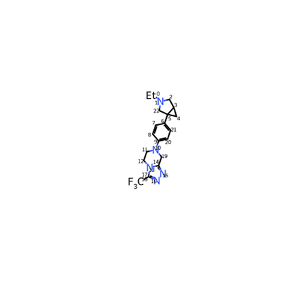 CCN1CC2CC2(c2ccc(N3CCn4c(nnc4C(F)(F)F)C3)cc2)C1